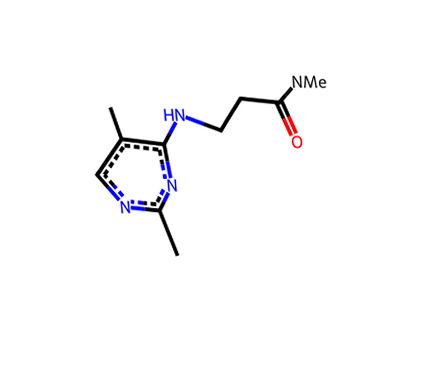 CNC(=O)CCNc1nc(C)ncc1C